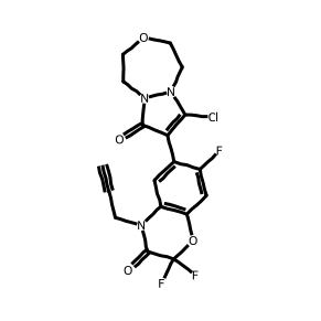 C#CCN1C(=O)C(F)(F)Oc2cc(F)c(-c3c(Cl)n4n(c3=O)CCOCC4)cc21